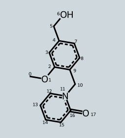 COc1cc(CO)ccc1Cn1ccccc1=O